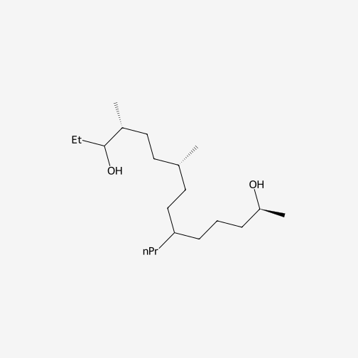 CCCC(CCC[C@H](C)O)CC[C@@H](C)CC[C@@H](C)C(O)CC